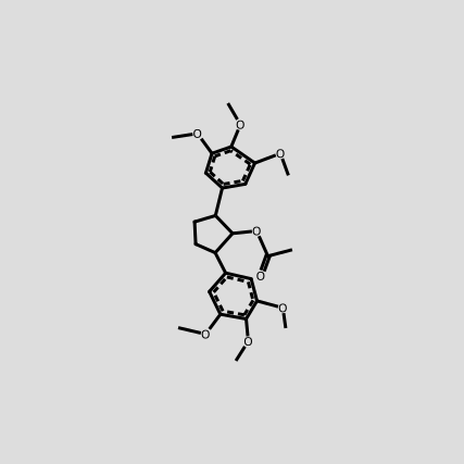 COc1cc(C2CCC(c3cc(OC)c(OC)c(OC)c3)C2OC(C)=O)cc(OC)c1OC